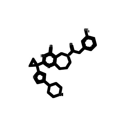 O=C(Cc1cccc(C(F)(F)F)c1)N1CCCc2nc(C3(c4cc(C5CCNCC5)cs4)CC3)[nH]c(=O)c2C1